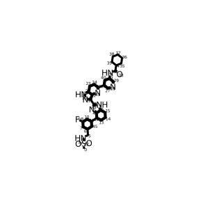 CS(=O)(=O)NCc1cc(F)cc(-c2cccc3[nH]c(-c4n[nH]c5ccc(-c6cncc(NC(=O)C7CCCCC7)c6)nc45)nc23)c1